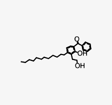 CCCCCCCCCCCCc1ccc(C(=O)c2ccccc2)c(O)c1CCO